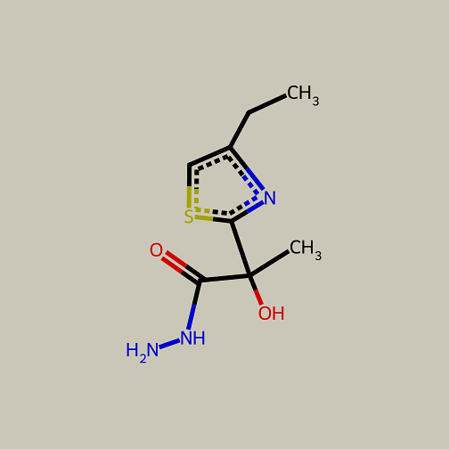 CCc1csc(C(C)(O)C(=O)NN)n1